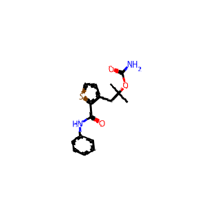 CC(C)(Cc1ccsc1C(=O)Nc1ccccc1)OC(N)=O